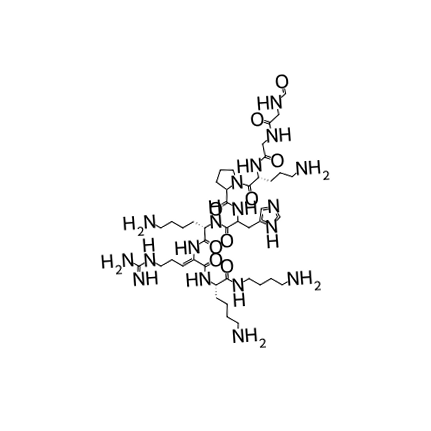 N=C(N)NCC/C=C(\NC(=O)[C@H](CCCCN)NC(=O)C(Cc1cnc[nH]1)NC(=O)C1CCCN1C(=O)[C@@H](CCCN)NC(=O)CNC(=O)CNC=O)C(=O)N[C@@H](CCCCN)C(=O)NCCCCN